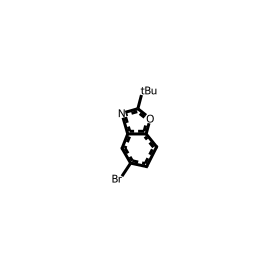 CC(C)(C)c1nc2cc(Br)ccc2o1